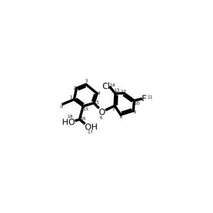 Cc1cccc(Oc2ccc(F)cc2Cl)c1C(O)O